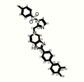 Cc1ccc(S(=O)(=O)n2ccnc2CN2C=Cc3[nH]c(-c4ccc(-c5ccc(C)c(C)c5)cc4)nc3C2)cc1